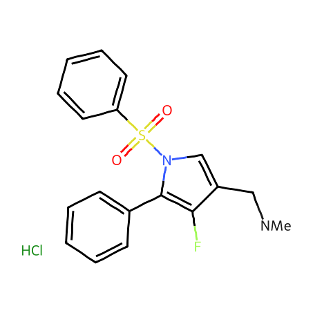 CNCc1cn(S(=O)(=O)c2ccccc2)c(-c2ccccc2)c1F.Cl